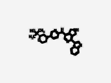 CC(C)(O)[C@@H]1CN(c2ccc(Nc3cnc(-c4cnc5ccccn45)c4c3CNC4)nc2)CCO1